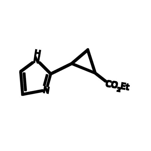 CCOC(=O)C1CC1c1ncc[nH]1